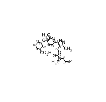 Cc1nc(-c2nnn(C)c2COC(=O)N(C)CCC(C)C)ccc1O[C@H]1CCC[C@H](C(=O)O)C1